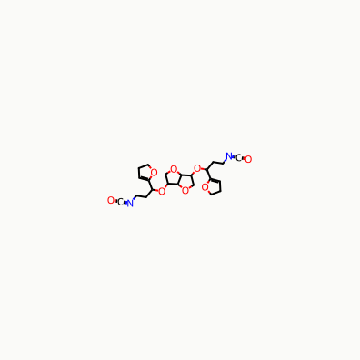 O=C=NCCC(OC1COC2C(OC(CCN=C=O)C3=CCCO3)COC12)C1=CCCO1